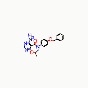 CC1CN(c2ccc(OCc3ccccc3)cc2)C(=O)c2c(N)ncnc2O1